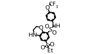 CCS(=O)(=O)c1cc2c(c(S(=O)(=O)Nc3ccc(OC(F)(F)F)cc3)c1)OCCN2